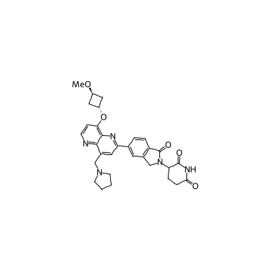 CO[C@H]1C[C@H](Oc2ccnc3c(CN4CCCC4)cc(-c4ccc5c(c4)CN(C4CCC(=O)NC4=O)C5=O)nc23)C1